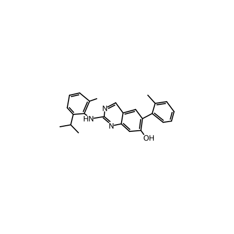 Cc1ccccc1-c1cc2cnc(Nc3c(C)cccc3C(C)C)nc2cc1O